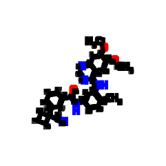 COc1cc2ncnc(Nc3cc(NC(=O)c4cccc(C5(C#N)CCC5)c4)ccc3C)c2cc1OC